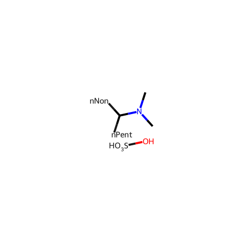 CCCCCCCCCC(CCCCC)N(C)C.O=S(=O)(O)O